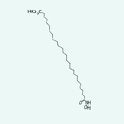 O=C(O)CCCCCCCCCCCCCCCCCCCCCCCCCC(=O)NO